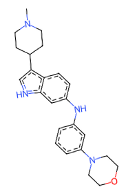 CN1CCC(c2c[nH]c3cc(Nc4cccc(N5CCOCC5)c4)ccc23)CC1